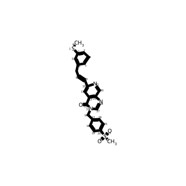 CSc1cccc(CC#Cc2cc3c(=O)n(Cc4ccc(S(C)(=O)=O)cc4)cnc3cn2)c1